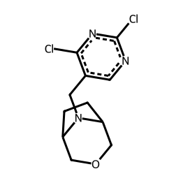 Clc1ncc(CN2C3CCC2COC3)c(Cl)n1